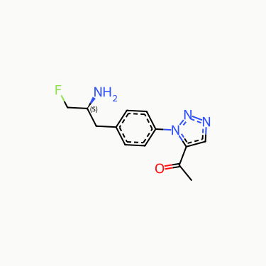 CC(=O)c1cnnn1-c1ccc(C[C@H](N)CF)cc1